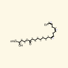 CC/C=C\C/C=C\C/C=C\CCCCCCCC(=O)OCCC(O)CCCCCC